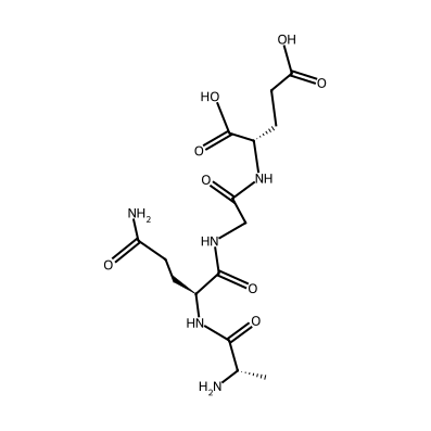 C[C@H](N)C(=O)N[C@@H](CCC(N)=O)C(=O)NCC(=O)N[C@@H](CCC(=O)O)C(=O)O